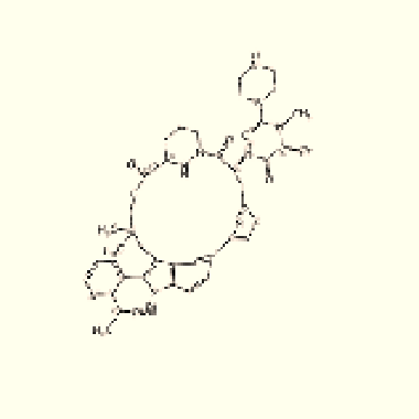 CCn1c(-c2cccnc2[C@H](C)OC)c2c3cc(ccc31)-c1csc(n1)C[C@H](NC(=O)[C@H](C(C)C)N(C)C(=O)N1CCNCC1)C(=O)N1CCC[C@@](O)(N1)C(=O)OCC(C)(C)C2